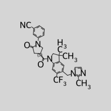 Cc1nccn1Cc1cc2c(cc1C(F)(F)F)N(C(=O)[C@H]1CC(=O)N(c3cccc(C#N)c3)C1)CC2(C)C